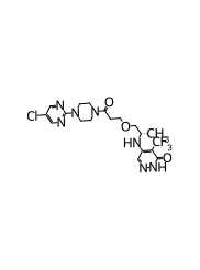 C[C@@H](COCCC(=O)N1CCN(c2ncc(Cl)cn2)CC1)Nc1cn[nH]c(=O)c1C(F)(F)F